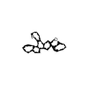 c1ccc2c(c1)ccc1c3cc4c(cc3c3cccnc3c21)oc1ccccc14